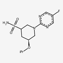 CC(C)O[C@H]1CC(S(N)(=O)=O)CN(c2ncc(F)cn2)C1